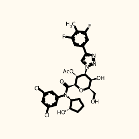 CC(=O)O[C@@H]1[C@@H](n2cc(-c3cc(F)c(C)c(F)c3)nn2)[C@@H](O)[C@@H](CO)O[C@H]1C(=O)N(c1cc(Cl)cc(Cl)c1)[C@H]1CCC[C@@H]1O